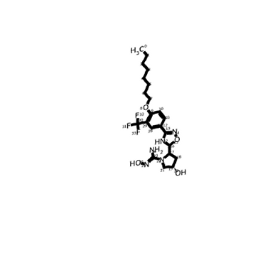 CCCCCCCCOc1ccc(C2=NOC(C3C[C@H](O)CN3/C(N)=N/O)N2)cc1C(F)(F)F